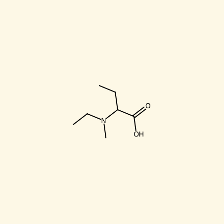 CCC(C(=O)O)N(C)CC